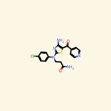 NC(=O)CCN(c1ccc(Cl)cc1)c1nc(N)c(C(=O)c2ccncc2)s1